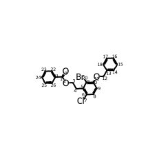 O=C(OCCc1c(Cl)ccc(OCc2ccccc2)c1Br)c1ccccc1